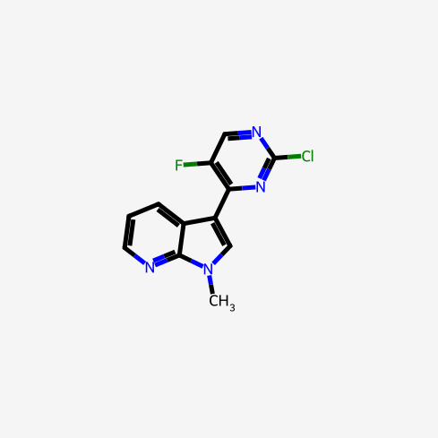 Cn1cc(-c2nc(Cl)ncc2F)c2cccnc21